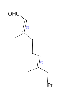 C/C(=C\C=O)CC/C=C(\C)CC(C)C